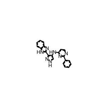 c1ccc(-c2nccc(Nc3c[nH]nc3-c3nc4ccccc4[nH]3)n2)cc1